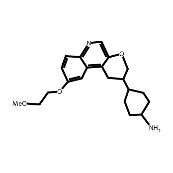 COCCOc1ccc2ncc3c(c2c1)CC(C1CCC(N)CC1)CO3